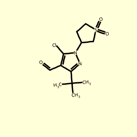 CC(C)(C)c1nn(C2CCS(=O)(=O)C2)c(Cl)c1C=O